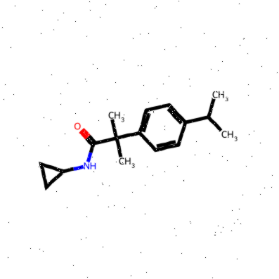 CC(C)c1ccc(C(C)(C)C(=O)NC2CC2)cc1